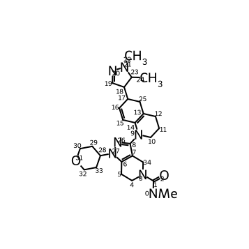 CNC(=O)N1CCc2c(c(N3CCCC4=C3C=CC(C3C=NN(C)C3C)C4)nn2C2CCOCC2)C1